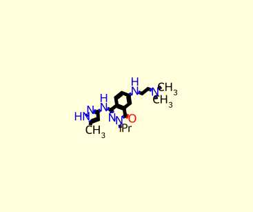 Cc1cc(Nc2nn(C(C)C)c(=O)c3cc(NCCN(C)C)ccc23)n[nH]1